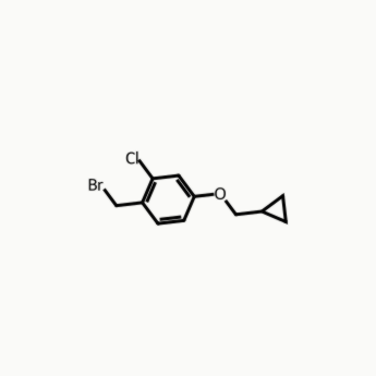 Clc1cc(OCC2CC2)ccc1CBr